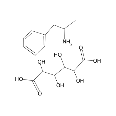 CC(N)Cc1ccccc1.O=C(O)C(O)C(O)C(O)C(O)C(=O)O